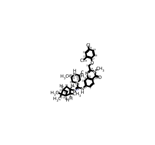 C[C@@H]1[C@@H](/N=C(/Nc2ccc3c(=O)n(C)c(COc4ccc(Cl)cc4Cl)nc3c2)N2C[C@@H](C)N[C@@H](C)C2)C[C@H]2C[C@@H]1C2(C)C